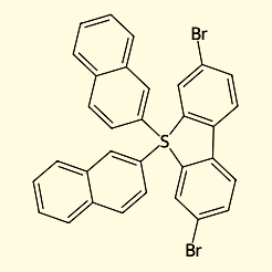 Brc1ccc2c(c1)S(c1ccc3ccccc3c1)(c1ccc3ccccc3c1)c1cc(Br)ccc1-2